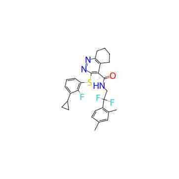 Cc1ccc(C(F)(F)CNC(=O)c2c(Sc3cccc(C4CC4)c3F)nnc3c2CCCC3)c(C)c1